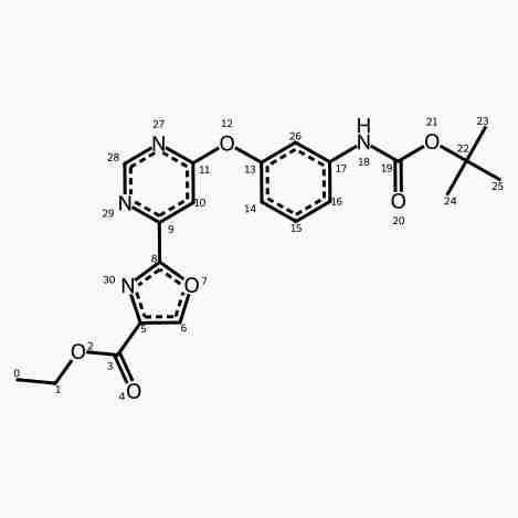 CCOC(=O)c1coc(-c2cc(Oc3cccc(NC(=O)OC(C)(C)C)c3)ncn2)n1